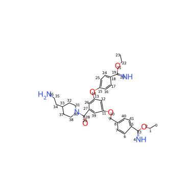 CCOC(=N)c1ccc(COc2cc(Oc3ccc(C(=N)OCC)cc3)cc(C(=O)N3CCC(CCN)CC3)c2)cc1